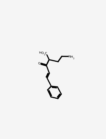 NCCC(C(=O)O)C(=O)C=Cc1ccccc1